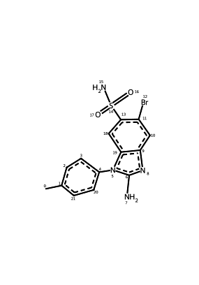 Cc1ccc(-n2c(N)nc3cc(Br)c(S(N)(=O)=O)cc32)cc1